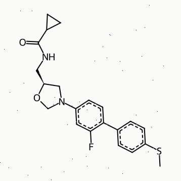 CSc1ccc(-c2ccc(N3CO[C@@H](CNC(=O)C4CC4)C3)cc2F)cc1